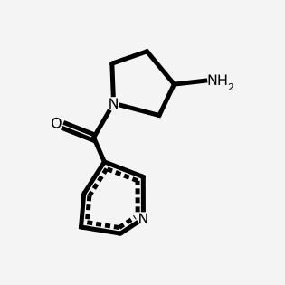 NC1CCN(C(=O)c2cccnc2)C1